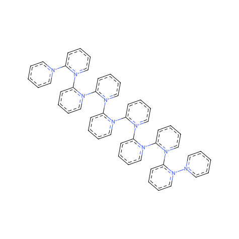 c1cc[n+](-c2cccc[n+]2-c2cccc[n+]2-c2cccc[n+]2-c2cccc[n+]2-c2cccc[n+]2-c2cccc[n+]2-c2cccc[n+]2-c2cccc[n+]2-[n+]2ccccc2)cc1